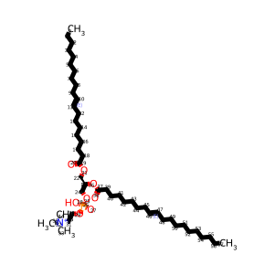 CCCCCCCCCC/C=C/CCCCCCCC(=O)OC[C@H](COP(=O)(O)OCC[N+](C)(C)C)OC(=O)CCCCCCC/C=C/CCCCCCCCCC